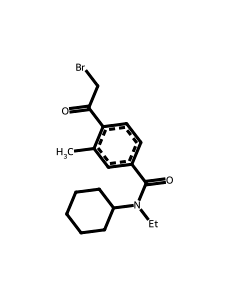 CCN(C(=O)c1ccc(C(=O)CBr)c(C)c1)C1CCCCC1